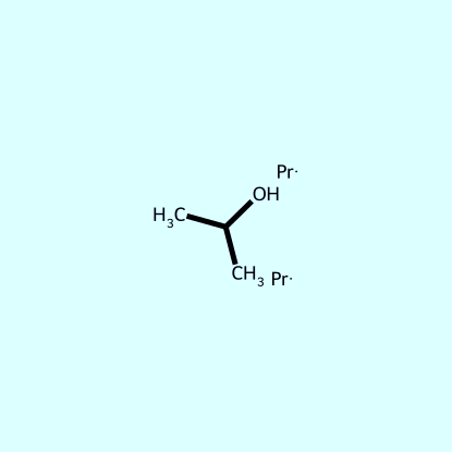 CC(C)O.[Pr].[Pr]